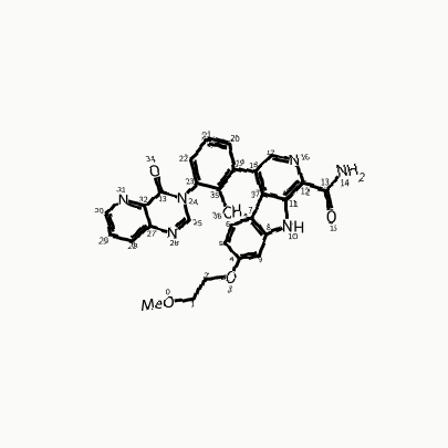 COCCOc1ccc2c(c1)[nH]c1c(C(N)=O)ncc(-c3cccc(-n4cnc5cccnc5c4=O)c3C)c12